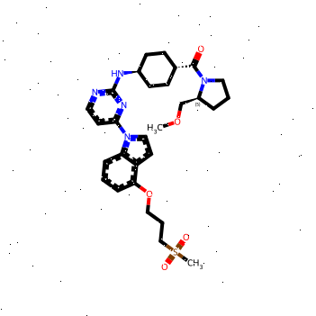 COC[C@@H]1CCCN1C(=O)[C@H]1CC[C@H](Nc2nccc(-n3ccc4c(OCCCS(C)(=O)=O)cccc43)n2)CC1